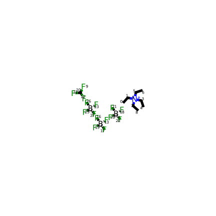 CC[N+](CC)(CC)CC.FC(F)F.F[B-](F)(F)F.F[B-](F)(F)F.F[B-](F)(F)F